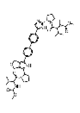 COC(=O)NC(C(=O)N1CCCC1c1[nH]c(-c2ccc(-c3ccc(-c4cnc([C@@H]5CCCN5C(=O)[C@@H](NC(=O)OC)C(C)C)[nH]4)cc3)cc2)c2c1COC2)C(C)C